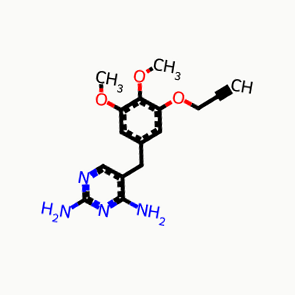 C#CCOc1cc(Cc2cnc(N)nc2N)cc(OC)c1OC